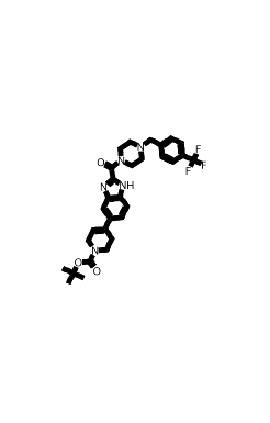 CC(C)(C)OC(=O)N1CC=C(c2ccc3[nH]c(C(=O)N4CCN(Cc5ccc(C(F)(F)F)cc5)CC4)nc3c2)CC1